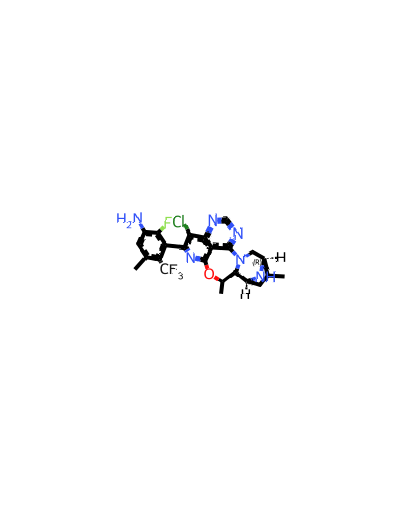 Cc1cc(N)c(F)c(-c2nc3c4c(ncnc4c2Cl)N2C[C@@H]4N[C@@H](CC4C)C2C(C)O3)c1C(F)(F)F